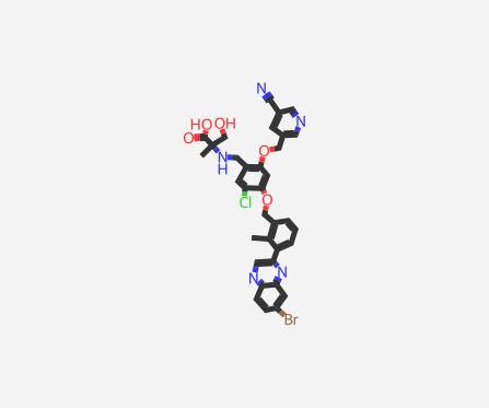 Cc1c(COc2cc(OCc3cncc(C#N)c3)c(CNC(C)(CO)C(=O)O)cc2Cl)cccc1-c1cnc2ccc(Br)cc2n1